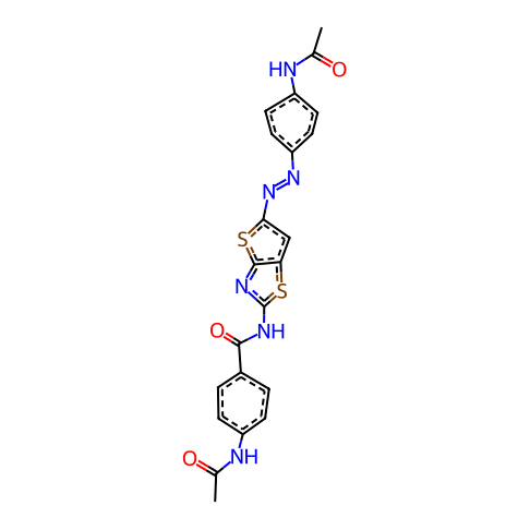 CC(=O)Nc1ccc(N=Nc2cc3sc(NC(=O)c4ccc(NC(C)=O)cc4)nc3s2)cc1